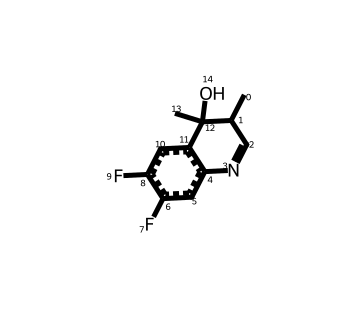 CC1C=Nc2cc(F)c(F)cc2C1(C)O